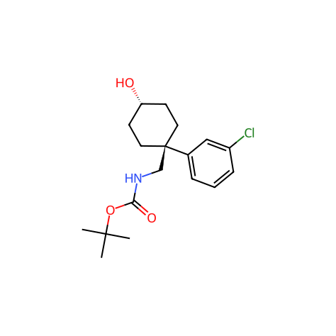 CC(C)(C)OC(=O)NC[C@]1(c2cccc(Cl)c2)CC[C@@H](O)CC1